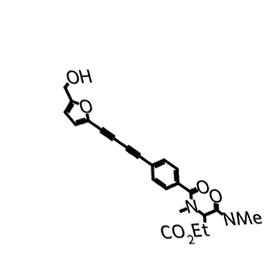 CCOC(=O)C(C(=O)NC)N(C)C(=O)c1ccc(C#CC#Cc2ccc(CO)o2)cc1